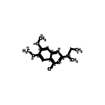 CCN(C)c1nc(Cl)c2cc(OC)c(OC)cc2n1